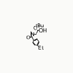 CCc1ccc(C(=O)N(C)CC(O)OC(C)(C)C)cc1